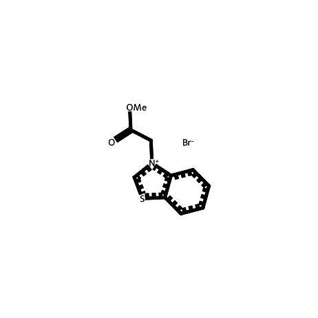 COC(=O)C[n+]1csc2ccccc21.[Br-]